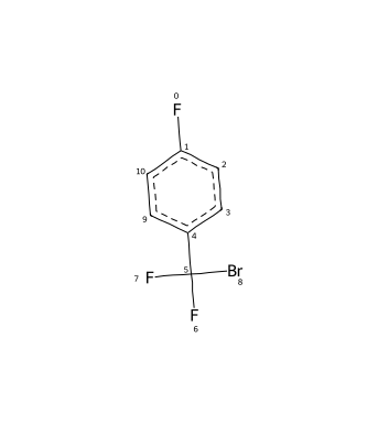 Fc1ccc(C(F)(F)Br)cc1